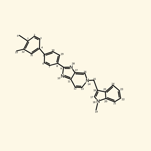 Cc1ccc(-c2ccc(-c3nc4ccn(Cc5cn(C)c6ccccc56)cc-4n3)cc2)cc1C